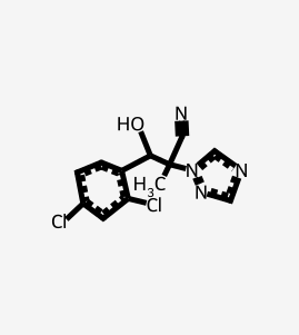 CC(C#N)(C(O)c1ccc(Cl)cc1Cl)n1cncn1